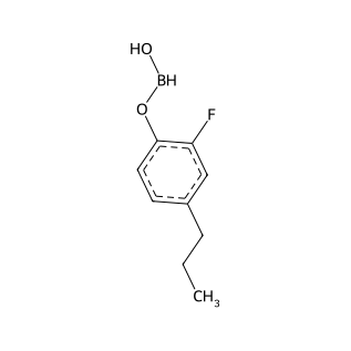 CCCc1ccc(OBO)c(F)c1